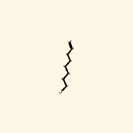 C=CCCCCCCI